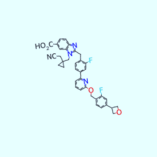 N#CCC1(Cn2c(Cc3ccc(-c4cccc(OCc5ccc(C6COC6)cc5F)n4)cc3F)nc3ccc(C(=O)O)cc32)CC1